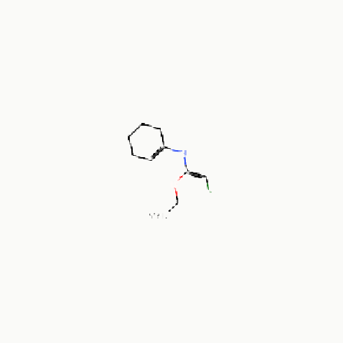 COCOC(=CCl)NC1=CCCCC1